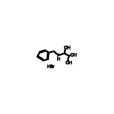 Br.OC(O)C(O)PCc1ccccc1